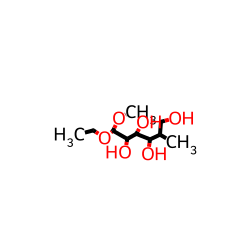 CCOC(OC)C(O)C(O)C(O)C(C)CO